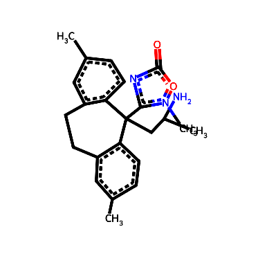 Cc1ccc2c(c1)CCc1cc(C)ccc1C2(CC(C)N)c1nc(=O)on1C